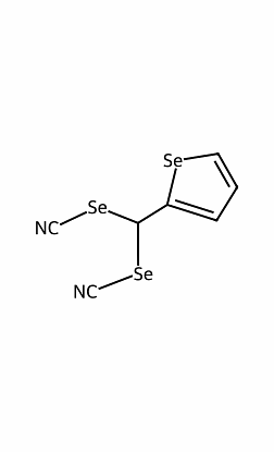 N#C[Se]C([Se]C#N)c1ccc[se]1